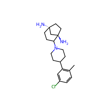 Cc1ccc(Cl)cc1C1CCN(C2CC[C@@]3(N)CC[C@@]2(N)C3)CC1